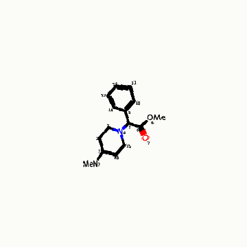 CNC1CCN(C(C(=O)OC)c2ccccc2)CC1